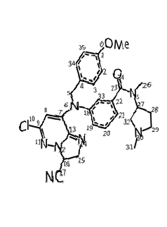 COc1ccc(CN(C2=CC(Cl)=NN3C2=NCC3C#N)c2cccc(C(=O)N(C)C3CCN(C)C3)c2)cc1